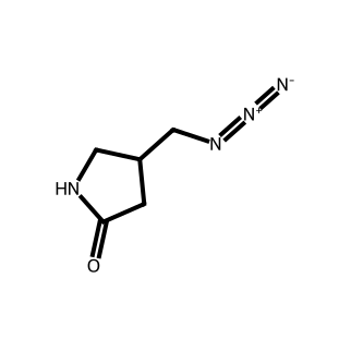 [N-]=[N+]=NCC1CNC(=O)C1